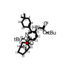 CC1(C)CC=C(c2nc(C3CC4CCC(C3)N4C(=O)OC(C)(C)C)ccc2NC(=O)OC(C)(C)C)CC1